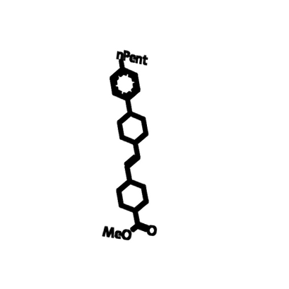 CCCCCc1ccc(C2CCC(/C=C/C3CCC(C(=O)OC)CC3)CC2)cc1